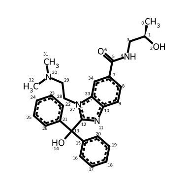 C[C@@H](O)CNC(=O)c1ccc2nc(C(O)(c3ccccc3)c3ccccc3)n(CCN(C)C)c2c1